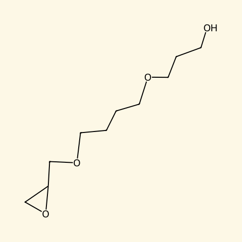 OCCCOCCCCOCC1CO1